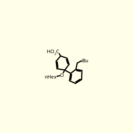 CCCCCCOC1(c2ccccc2CC(C)CC)C=CC(C(=O)O)C=C1